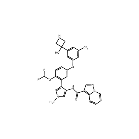 Cn1cc(NC(=O)c2cnn3cccnc23)c(-c2cc(Oc3cc(C(F)(F)F)cc(C4(O)CNC4)c3)ccc2OC(F)F)n1